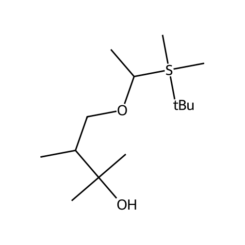 CC(COC(C)S(C)(C)C(C)(C)C)C(C)(C)O